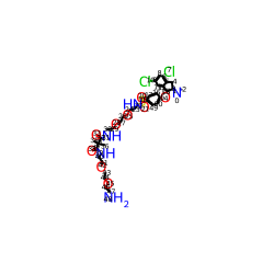 CN(C)C1Cc2c(Cl)cc(Cl)cc2[C@@H]1Oc1ccc(S(=O)(=O)NCCOCCOCCNC(=O)C(C)(C)C(=O)NCCOCCOCCN)cc1